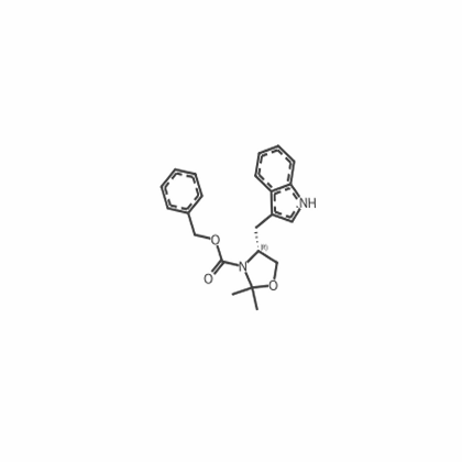 CC1(C)OC[C@@H](Cc2c[nH]c3ccccc23)N1C(=O)OCc1ccccc1